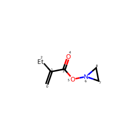 C=C(CC)C(=O)ON1CC1